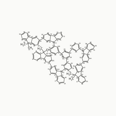 CC1(C)c2ccccc2-c2cc(-c3ccc4c5ccccc5n(-c5cccc(-c6cc(-c7cccc(-n8c9ccccc9c9ccc(-c%10ccc%11c(c%10)-c%10ccccc%10C%11(C)C)cc98)c7)nc(-c7cccc(-n8c9ccccc9c9ccc(-c%10ccc%11c(c%10)-c%10ccccc%10C%11(C)C)cc98)c7)n6)c5)c4c3)ccc21